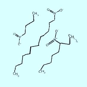 CCCCCC(CC)[N+](=O)[O-].CCCCCCCCCCC[N+](=O)[O-].CCCC[N+](=O)[O-]